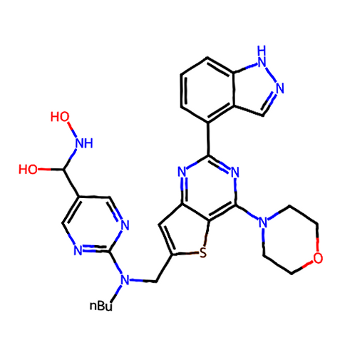 CCCCN(Cc1cc2nc(-c3cccc4[nH]ncc34)nc(N3CCOCC3)c2s1)c1ncc(C(O)NO)cn1